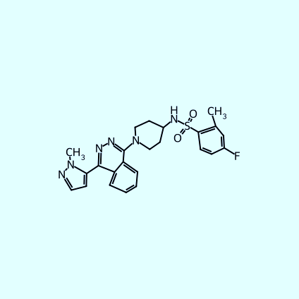 Cc1cc(F)ccc1S(=O)(=O)NC1CCN(c2nnc(-c3ccnn3C)c3ccccc23)CC1